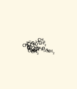 C=C(C)COC(=O)C1=C(COCCOCCN)NC(C)=C(C(=O)OC)[C@H]1c1cccc(Cl)c1Cl